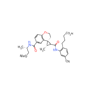 COC[C@H](C)NC(=O)c1ccc2c(c1)[C@@]1(CCO2)C(C(=O)Nc2cc(C#N)ccc2CCCC(=O)O)[C@@H]1C